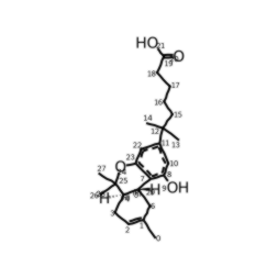 CC1=CC[C@@H]2[C@@H](C1)c1c(O)cc(C(C)(C)CCCCC(=O)O)cc1OC2(C)C